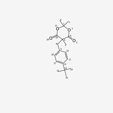 CC1(C)OC(=O)C(C)(Cc2ccc(C(C)(C)C)cc2)C(=O)O1